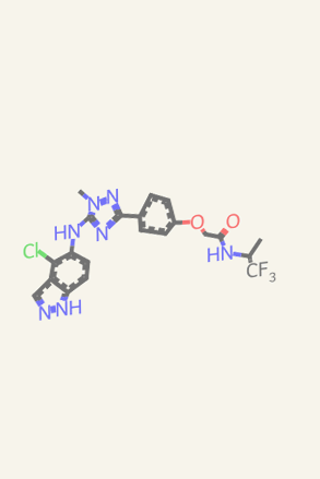 CC(NC(=O)COc1ccc(-c2nc(Nc3ccc4[nH]ncc4c3Cl)n(C)n2)cc1)C(F)(F)F